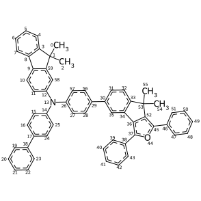 CC1(C)c2ccccc2-c2ccc(N(c3ccc(-c4ccccc4)cc3)c3ccc(-c4ccc5c(c4)-c4c(-c6ccccc6)oc(-c6ccccc6)c4C5(C)C)cc3)cc21